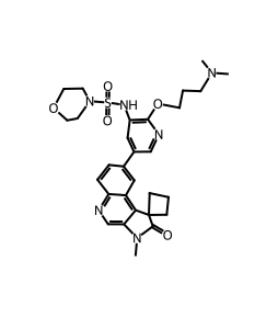 CN(C)CCCOc1ncc(-c2ccc3ncc4c(c3c2)C2(CCC2)C(=O)N4C)cc1NS(=O)(=O)N1CCOCC1